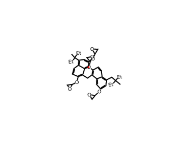 CCC(C)(CC)Cc1cc(OC2CO2)cc2c(Cc3c(OC4CO4)ccc4c(C(C)(CC)CC)cc(OC5CO5)cc34)c(OC3CO3)ccc12